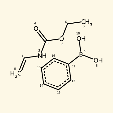 C=CNC(=O)OCC.OB(O)c1ccccc1